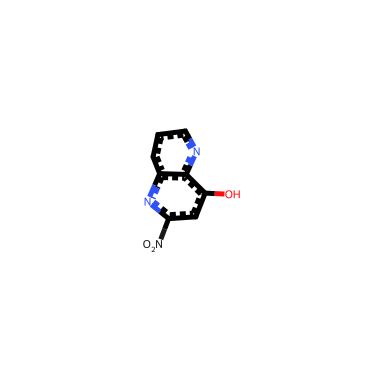 O=[N+]([O-])c1cc(O)c2ncccc2n1